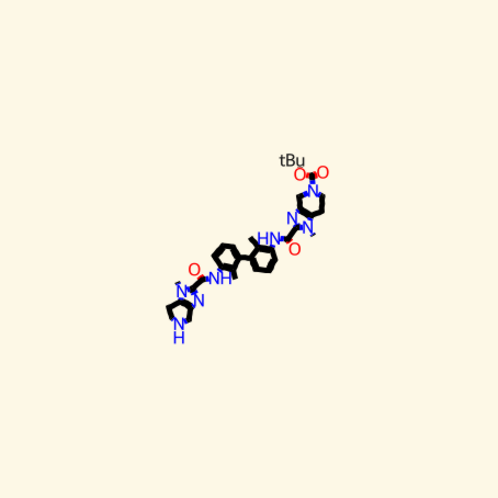 Cc1c(NC(=O)c2nc3c(n2C)CCNC3)cccc1-c1cccc(NC(=O)c2nc3c(n2C)CCN(C(=O)OC(C)(C)C)C3)c1C